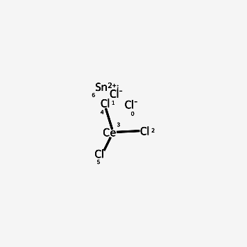 [Cl-].[Cl-].[Cl][Ce]([Cl])[Cl].[Sn+2]